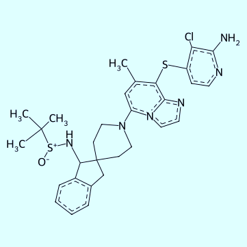 Cc1cc(N2CCC3(CC2)Cc2ccccc2C3N[S+]([O-])C(C)(C)C)n2ccnc2c1Sc1ccnc(N)c1Cl